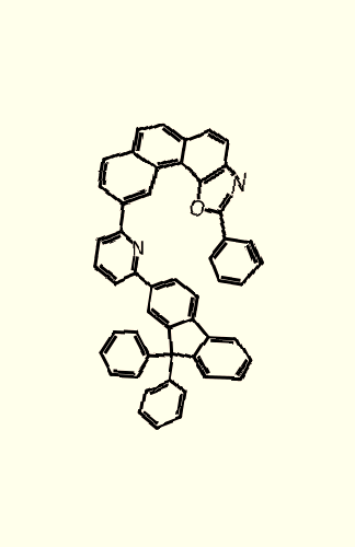 c1ccc(-c2nc3ccc4ccc5ccc(-c6cccc(-c7ccc8c(c7)C(c7ccccc7)(c7ccccc7)c7ccccc7-8)n6)cc5c4c3o2)cc1